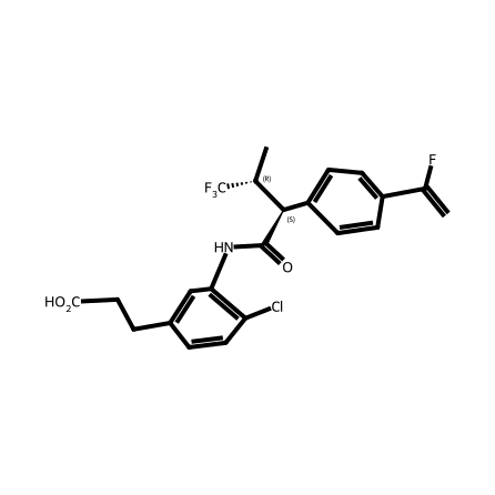 C=C(F)c1ccc([C@@H](C(=O)Nc2cc(CCC(=O)O)ccc2Cl)[C@@H](C)C(F)(F)F)cc1